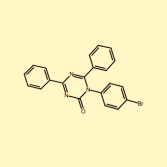 O=c1nc(-c2ccccc2)nc(-c2ccccc2)n1-c1ccc(Br)cc1